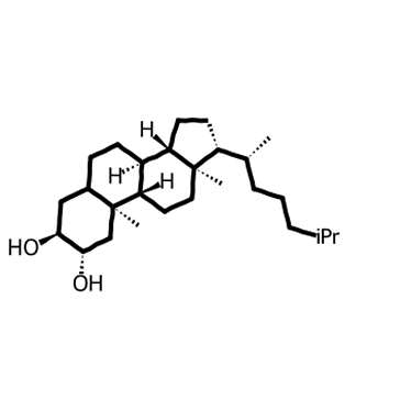 CC(C)CCC[C@@H](C)[C@H]1CC[C@H]2[C@@H]3CCC4C[C@H](O)[C@@H](O)C[C@]4(C)[C@H]3CC[C@]12C